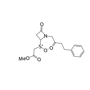 COC(=O)C[S+]([O-])C1CC(=O)N1CC(=O)CCc1ccccc1